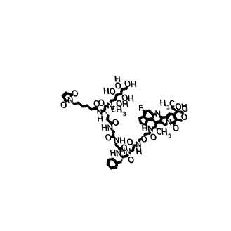 CC[C@@]1(O)C(=O)OCc2c1cc1n(c2=O)Cc2c-1nc1cc(F)c3c(c1c2[C@H](C)NC(=O)COCNC(=O)CNC(=O)[C@H](Cc1ccccc1)NC(=O)CNC(=O)CNC(=O)CC[C@H](NC(=O)CCCCCN1C(=O)C=CC1=O)C(=O)N(C)C[C@H](O)[C@@H](O)[C@H](O)[C@H](O)CO)CCC3